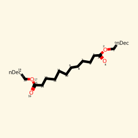 CCCCCCCCCCCOC(=O)CCCCCCCCCCC(=O)OCCCCCCCCCCC